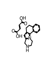 O=C(O)C=CC(=O)O.c1ccc2c(c1)CCc1cc3n(c1-2)CCNC3